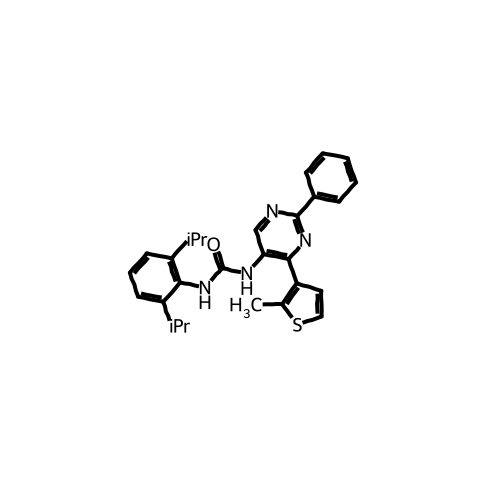 Cc1sccc1-c1nc(-c2ccccc2)ncc1NC(=O)Nc1c(C(C)C)cccc1C(C)C